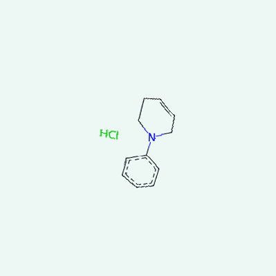 C1=CCN(c2ccccc2)CC1.Cl